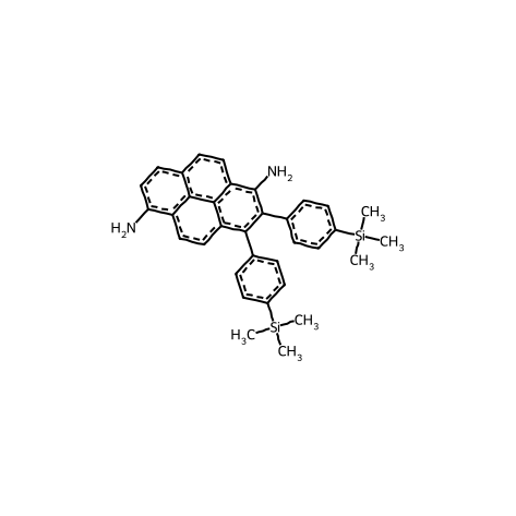 C[Si](C)(C)c1ccc(-c2c(N)c3ccc4ccc(N)c5ccc(c2-c2ccc([Si](C)(C)C)cc2)c3c45)cc1